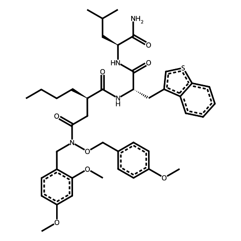 CCCC[C@H](CC(=O)N(Cc1ccc(OC)cc1OC)OCc1ccc(OC)cc1)C(=O)N[C@@H](Cc1csc2ccccc12)C(=O)N[C@@H](CC(C)C)C(N)=O